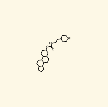 O=C(NCCN1CCNCC1)OC1CCC2C(CCC3C4CCCC4CCC23)C1